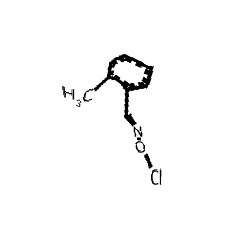 Cc1ccccc1C=NOCl